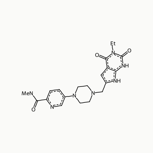 CCn1c(=O)[nH]c2[nH]c(CN3CCN(c4ccc(C(=O)NC)nc4)CC3)cc2c1=O